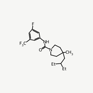 CCC(CC)CC1(C)CCN(C(=O)Nc2cc(F)cc(C(F)(F)F)c2)CC1